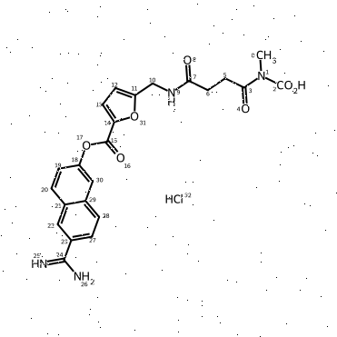 CN(C(=O)O)C(=O)CCC(=O)NCc1ccc(C(=O)Oc2ccc3cc(C(=N)N)ccc3c2)o1.Cl